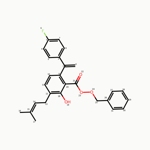 C=C(c1ccc(F)cc1)c1ccc(CC=C(C)C)c(O)c1C(=O)OOCc1ccccc1